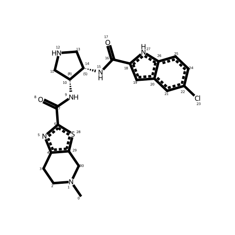 CN1CCc2nc(C(=O)N[C@@H]3CNC[C@@H]3NC(=O)c3cc4cc(Cl)ccc4[nH]3)sc2C1